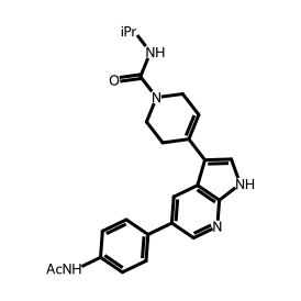 CC(=O)Nc1ccc(-c2cnc3[nH]cc(C4=CCN(C(=O)NC(C)C)CC4)c3c2)cc1